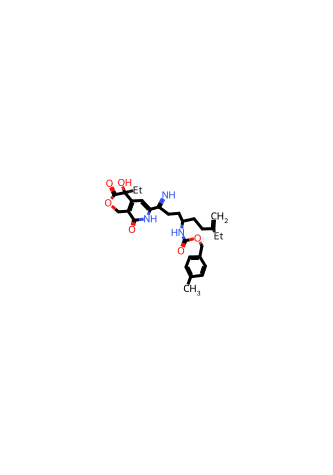 C=C(CC)CCC(CCC(=N)c1cc2c(c(=O)[nH]1)COC(=O)C2(O)CC)NC(=O)OCc1ccc(C)cc1